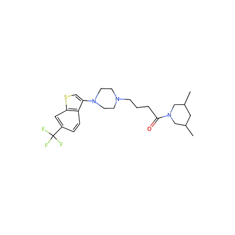 CC1CC(C)CN(C(=O)CCCN2CCN(c3csc4cc(C(F)(F)F)ccc34)CC2)C1